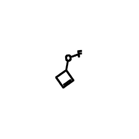 FOC1C=CC1